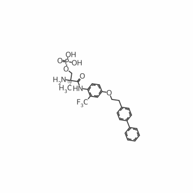 C[C@](N)(COP(=O)(O)O)C(=O)Nc1ccc(OCCc2ccc(-c3ccccc3)cc2)cc1C(F)(F)F